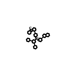 c1ccc(-c2cc(-c3ccccc3)cc(N(c3ccc(-c4cccc5sc6ccccc6c45)cc3)c3cccc(-c4ccc5ccccc5c4)c3)c2)cc1